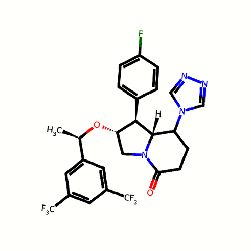 C[C@@H](O[C@H]1CN2C(=O)CCC(n3cnnc3)[C@H]2[C@@H]1c1ccc(F)cc1)c1cc(C(F)(F)F)cc(C(F)(F)F)c1